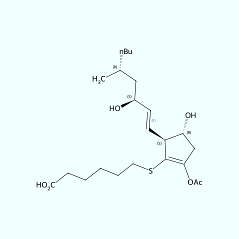 CCCC[C@@H](C)C[C@H](O)/C=C/[C@@H]1C(SCCCCCC(=O)O)=C(OC(C)=O)C[C@H]1O